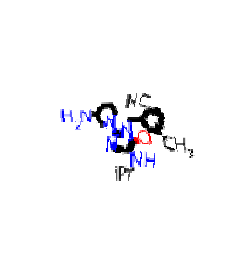 Cc1ccc(C#N)c(Cn2c(N3CCC[C@@H](N)C3)ncc(NC(C)C)c2=O)c1